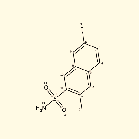 Cc1cc2ccc(F)cc2cc1S(N)(=O)=O